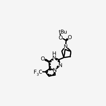 CC(C)(C)OC(=O)N1CC2(c3nn4ccc(C(F)(F)F)c4c(=O)[nH]3)CC1C2